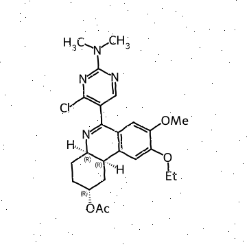 CCOc1cc2c(cc1OC)C(c1cnc(N(C)C)nc1Cl)=N[C@@H]1CC[C@@H](OC(C)=O)C[C@H]21